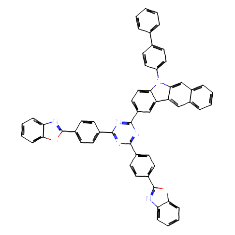 c1ccc(-c2ccc(-n3c4ccc(-c5nc(-c6ccc(-c7nc8ccccc8o7)cc6)nc(-c6ccc(-c7nc8ccccc8o7)cc6)n5)cc4c4cc5ccccc5cc43)cc2)cc1